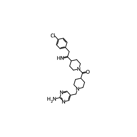 N=C(Cc1ccc(Cl)cc1)C1CCN(C(=O)C2CCN(Cc3cnc(N)nc3)CC2)CC1